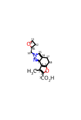 Cc1c(C(=O)O)oc2c1-c1nn(C[C@@H]3CCO3)cc1CC2